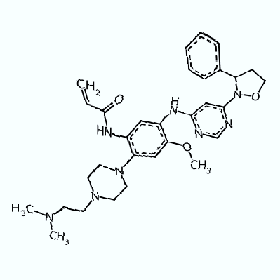 C=CC(=O)Nc1cc(Nc2cc(N3OCCC3c3ccccc3)ncn2)c(OC)cc1N1CCN(CCN(C)C)CC1